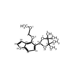 COCOc1c(B2OC(C)(C)C(C)(C)O2)ccc2sccc12